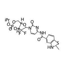 CC(C)OP1(=O)OC[C@H]2OC(n3ccc(NC(=O)c4ccc5c(c4)NC(C)S5)nc3=O)C(F)(F)[C@@H]2O1